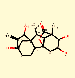 C=C1C(O)C23CC1(O)CCC2C12CC(O)C(O)C(C)(C(=O)O1)C2C3C(=O)O